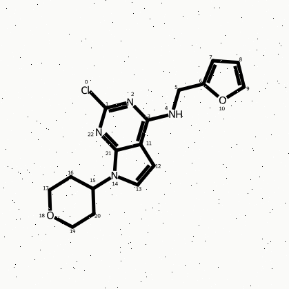 Clc1nc(NCc2ccco2)c2ccn(C3CCOCC3)c2n1